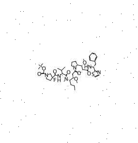 CC[C@H](C)[C@@H]([C@@H](CC(=O)N1CCC[C@H]1[C@H](OC)[C@@H](C)C(=O)N[C@@H](Cc1ccccc1)c1nccs1)OC)N(C)C(=O)[C@@H](NC(=O)[C@@]1(F)CCN(C(=O)OC(C)(C)C)C1)C(C)C